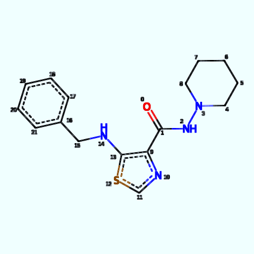 O=C(NN1CCCCC1)c1ncsc1NCc1ccccc1